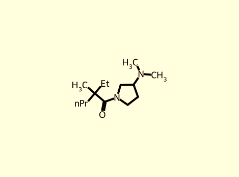 CCCC(C)(CC)C(=O)N1CCC(N(C)C)C1